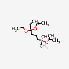 CCOC(CC)(CCC[Si](C)(C)OC(C)C)OCC